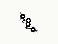 C[C@]12Cc3cnn(-c4ccc(F)cc4)c3C=C1CCC[C@@H]2C(=O)c1ccc(F)cc1F